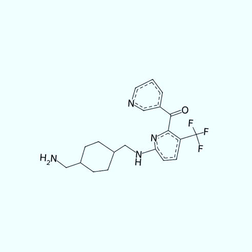 NCC1CCC(CNc2ccc(C(F)(F)F)c(C(=O)c3cccnc3)n2)CC1